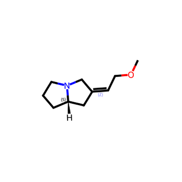 COC/C=C1/C[C@@H]2CCCN2C1